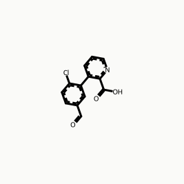 O=Cc1ccc(Cl)c(-c2cccnc2C(=O)O)c1